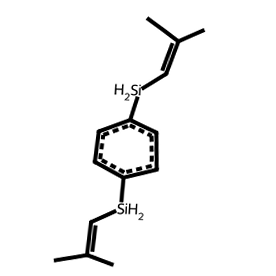 CC(C)=C[SiH2]c1ccc([SiH2]C=C(C)C)cc1